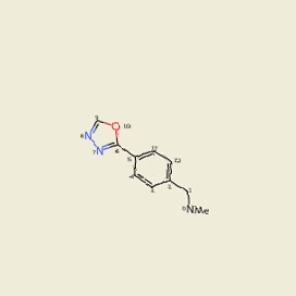 CNCc1ccc(-c2nnco2)cc1